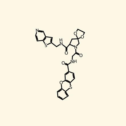 O=C(NCC(=O)N1CC2(CC1C(=O)NCc1cc3cnccc3s1)OCCO2)c1ccc2c(c1)Oc1ccccc1S2